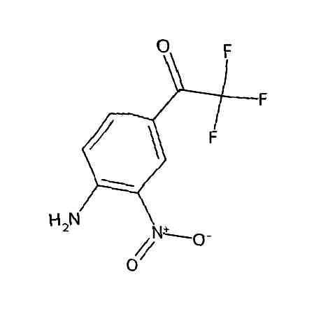 Nc1ccc(C(=O)C(F)(F)F)cc1[N+](=O)[O-]